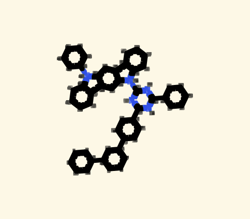 c1ccc(-c2cccc(-c3ccc(-c4nc(-c5ccccc5)nc(-n5c6ccccc6c6cc7c(cc65)c5ccccc5n7-c5ccccc5)n4)cc3)c2)cc1